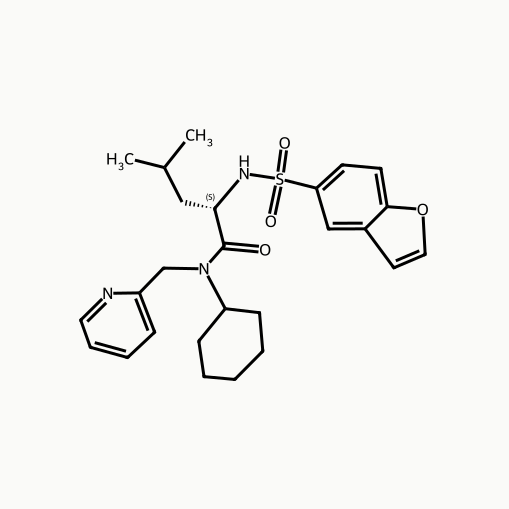 CC(C)C[C@H](NS(=O)(=O)c1ccc2occc2c1)C(=O)N(Cc1ccccn1)C1CCCCC1